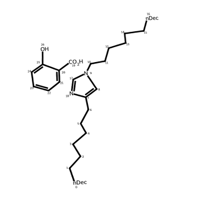 CCCCCCCCCCCCCCCCc1cn(CCCCCCCCCCCCCCCC)cn1.O=C(O)c1ccccc1O